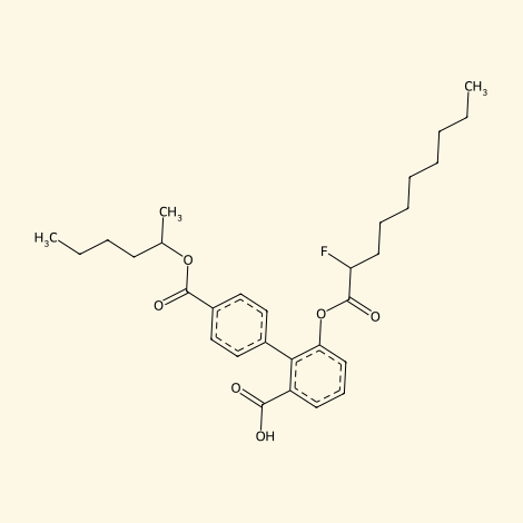 CCCCCCCCC(F)C(=O)Oc1cccc(C(=O)O)c1-c1ccc(C(=O)OC(C)CCCC)cc1